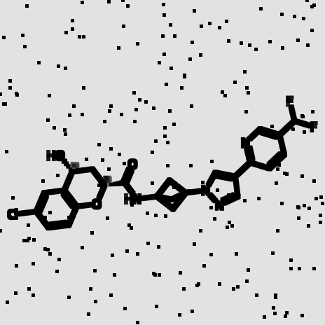 O=C(NC12CC(n3cc(-c4ccc(C(F)F)cn4)cn3)(C1)C2)[C@H]1C[C@@H](O)c2cc(Cl)ccc2O1